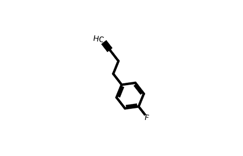 C#CCCc1ccc(F)cc1